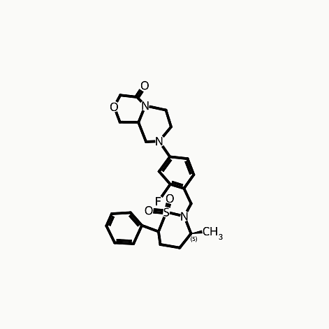 C[C@H]1CCC(c2ccccc2)S(=O)(=O)N1Cc1ccc(N2CCN3C(=O)COCC3C2)cc1F